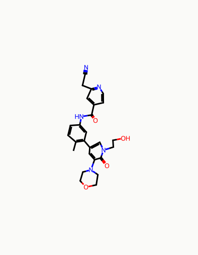 Cc1ccc(NC(=O)c2ccnc(CC#N)c2)cc1-c1cc(N2CCOCC2)c(=O)n(CCO)c1